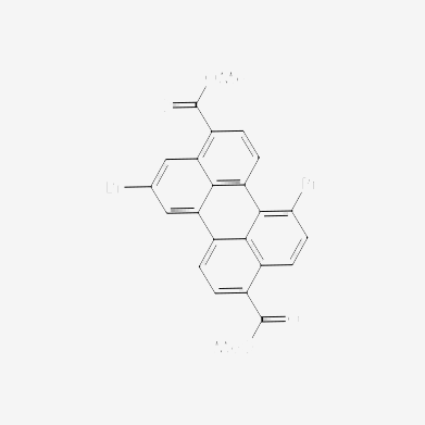 COC(=O)c1ccc2c3c(Br)ccc4c(C(=O)OC)ccc(c5cc(Br)cc1c52)c43